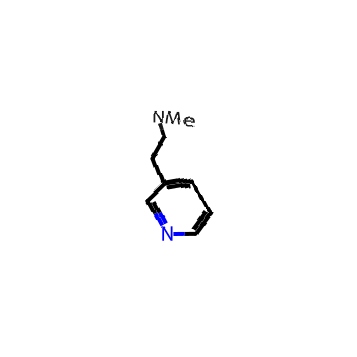 [CH2]NCCc1cccnc1